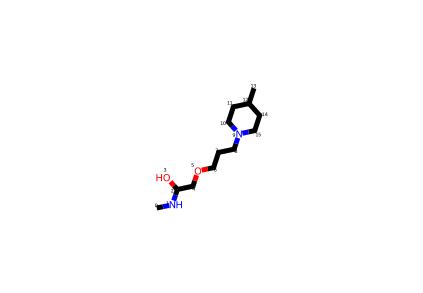 CNC(O)COCCCN1CCC(C)CC1